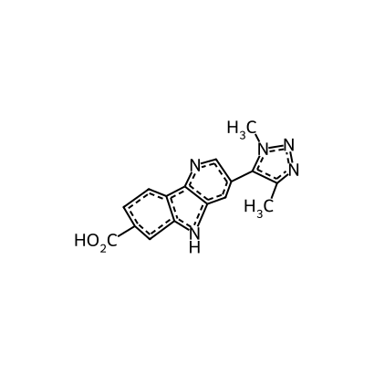 Cc1nnn(C)c1-c1cnc2c(c1)[nH]c1cc(C(=O)O)ccc12